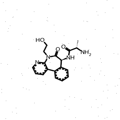 C[C@H](N)C(=O)N[C@@H]1C(=O)N(CCO)c2ncccc2-c2ccccc21